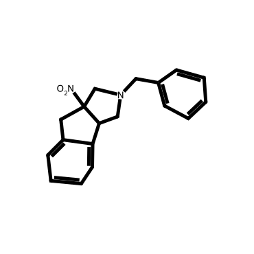 O=[N+]([O-])C12Cc3ccccc3C1CN(Cc1ccccc1)C2